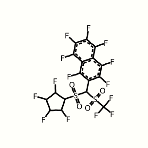 O=S(=O)(C1C(F)C(F)C(F)C1F)C(c1c(F)c(F)c2c(F)c(F)c(F)c(F)c2c1F)S(=O)(=O)C(F)(F)F